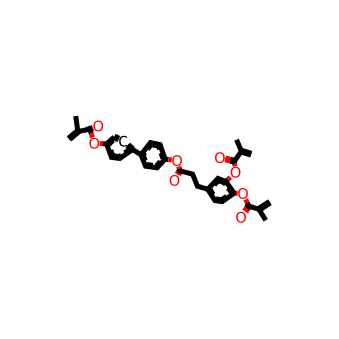 C=C(C)C(=O)Oc1ccc(-c2ccc(OC(=O)CCc3ccc(OC(=O)C(=C)C)c(OC(=O)C(=C)C)c3)cc2)cc1